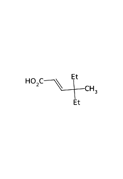 CCC(C)(C=CC(=O)O)CC